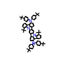 CC(C)(C)c1ccc(N(c2ccc(C(C)(C)C)cc2)c2ccc3c4cc5c(cc4n4c6c(C(C)(C)C)cccc6c2c34)c2ccc(N(c3ccc(C(C)(C)C)cc3)c3ccc(C(C)(C)C)cc3)c3c4cccc(C(C)(C)C)c4n5c23)cc1